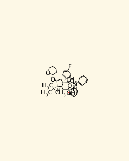 CC(C)(C)[C@@H]1[C@@H](OC2CCCCO2)C[C@]2(c3ccc(F)cc3)[C@H]1CC(O)OC2(C)O[SiH](c1ccccc1)c1ccccc1